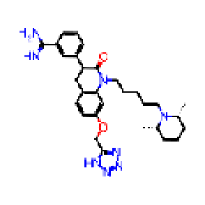 C[C@@H]1CCC[C@H](C)N1CCCCCN1C(=O)C(c2cccc(C(=N)N)c2)Cc2ccc(OCc3nnn[nH]3)cc21